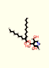 CCCCCCCCC=C(CCCCCCCC)C(=O)OC(O)c1c(CO)cnc(C)c1O